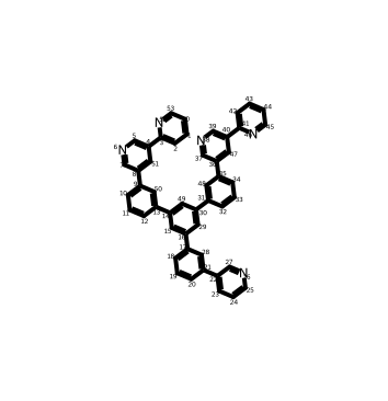 c1ccc(-c2cncc(-c3cccc(-c4cc(-c5cccc(-c6cccnc6)c5)cc(-c5cccc(-c6cncc(-c7ccccn7)c6)c5)c4)c3)c2)nc1